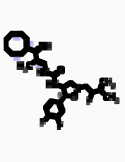 C=C(C)C(F)CN1CC(NC(=O)N/C=C(\C)C(=N)C2=C/C=C\CC/C=C\2)[C@H](c2ccc(F)c(F)c2)O1